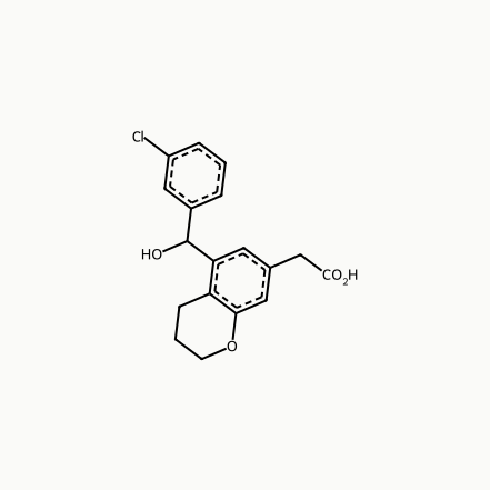 O=C(O)Cc1cc2c(c(C(O)c3cccc(Cl)c3)c1)CCCO2